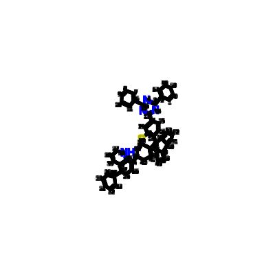 C1=CC(c2nc(-c3ccccc3)nc(-c3ccc4c(c3)SC3=CC(C5=CCC(c6ccccc6)C6=C5NCC=C6)CC=C3C43c4ccccc4-c4ccccc43)n2)=CCC1